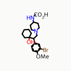 COc1ccc(C(CN2CCC(NC(=O)O)CC2)C2(O)CCCCC2)cc1Br